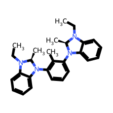 CCN1c2ccccc2N(c2cccc(N3c4ccccc4N(CC)[C@@H]3C)c2C)[C@@H]1C